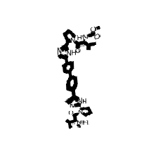 CN[C@H](C(=O)N1CCC[C@H]1c1ncc(-c2ccc(-c3ccc(-c4cnc(C5CCCN5C(=O)[C@@H](NC(=O)OC)C(C)C)[nH]4)cc3)cc2)[nH]1)C(C)C